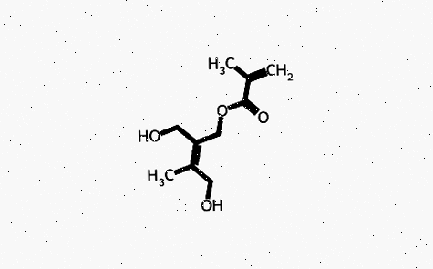 C=C(C)C(=O)OCC(CO)=C(C)CO